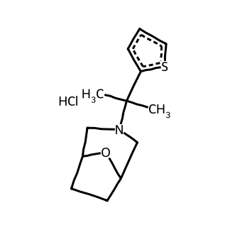 CC(C)(c1cccs1)N1CC2CCC(C1)O2.Cl